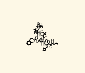 C=CCNC(=O)C(=O)C(CC1CCC1)NC(=O)[C@@H]1C[C@@H](OC(=O)N2CCc3ccccc3C2)CN1C(=O)[C@@H](NC(=O)N[C@H](CN(C)S(C)(=O)=O)C(C)(C)C)C(C)(C)C